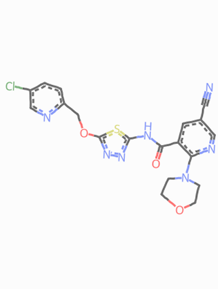 N#Cc1cnc(N2CCOCC2)c(C(=O)Nc2nnc(OCc3ccc(Cl)cn3)s2)c1